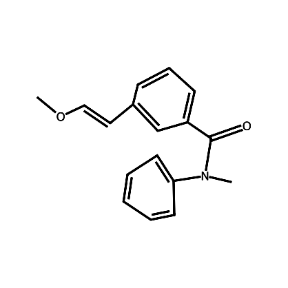 COC=Cc1cccc(C(=O)N(C)c2ccccc2)c1